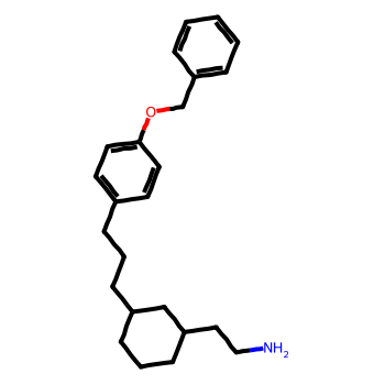 NCCC1CCCC(CCCc2ccc(OCc3ccccc3)cc2)C1